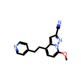 COc1ccc(CCc2ccncc2)c2cc(C#N)nn12